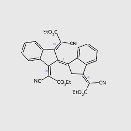 CCOC(=O)\C(C#N)=C1C(=C2\C/C(=C(/C#N)C(=O)OCC)c3ccccc32)/C(=C(\C#N)C(=O)OCC)c2ccccc2/1